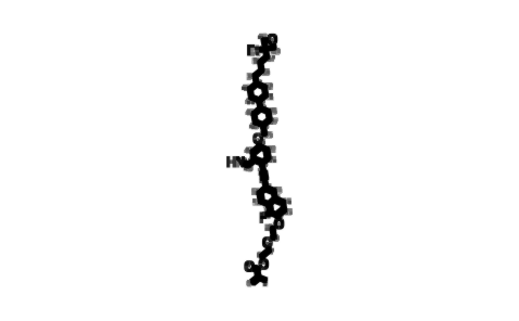 C=C(C)C(=O)OCCOCCOc1ccc2cc(C#Cc3ccc(OCC4CCC(C5CCC(CCCCC6(CC)COC6)CC5)CC4)cc3C=N)ccc2c1F